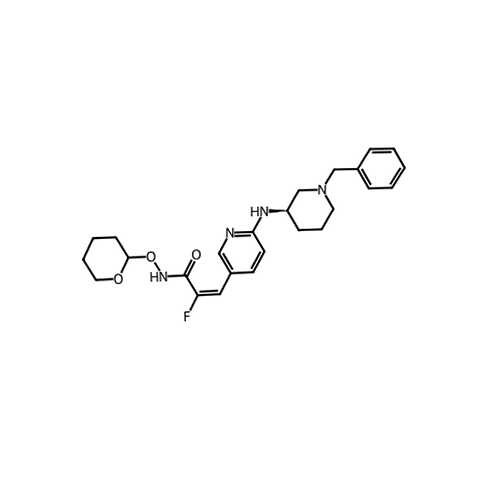 O=C(NOC1CCCCO1)/C(F)=C\c1ccc(N[C@@H]2CCCN(Cc3ccccc3)C2)nc1